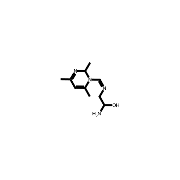 CC1=CC(C)=NC(C)N1/C=N\CC(N)O